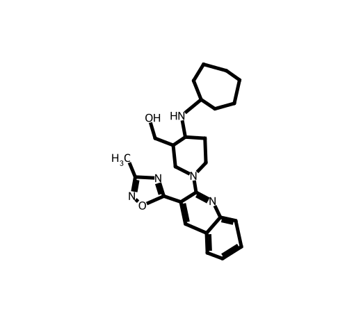 Cc1noc(-c2cc3ccccc3nc2N2CCC(NC3CCCCCC3)C(CO)C2)n1